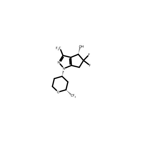 O[C@H]1c2c(C(F)(F)F)nn([C@H]3CCO[C@@H](C(F)(F)F)C3)c2CC1(F)F